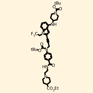 CCOC(=O)C1CCN(CCNC(=O)c2ccc(N(CC#Cc3cc4c(NC5CCN(C(=O)OC(C)(C)C)CC5)cccc4n3CC(F)(F)F)C(=O)OC(C)(C)C)cc2)CC1